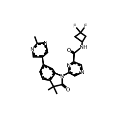 Cc1ncc(-c2ccc3c(c2)N(c2cncc(C(=O)NC4CC(F)(F)C4)n2)C(=O)C3(C)C)cn1